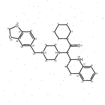 O=C(C1CCCCC1)C(C1CCc2ccccc2N1)N1CCN(Cc2ccc3c(c2)OCO3)CC1